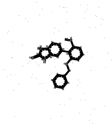 COc1cccc(OCc2ccccc2)c1-c1ccc2[nH]c(=O)[nH]c2c1